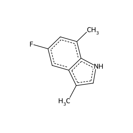 Cc1c[nH]c2c(C)cc(F)cc12